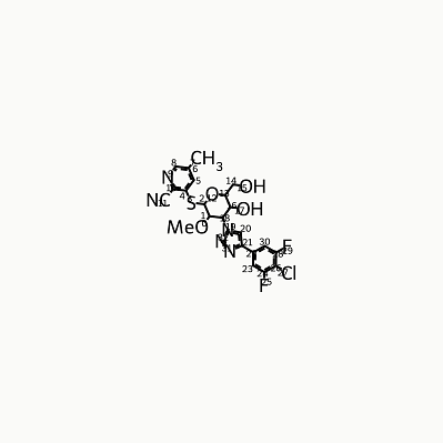 COC1C(Sc2cc(C)cnc2C#N)OC(CO)C(O)C1n1cc(-c2cc(F)c(Cl)c(F)c2)nn1